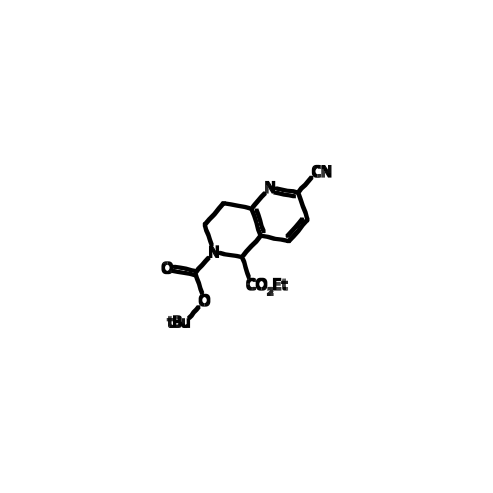 CCOC(=O)C1c2ccc(C#N)nc2CCN1C(=O)OC(C)(C)C